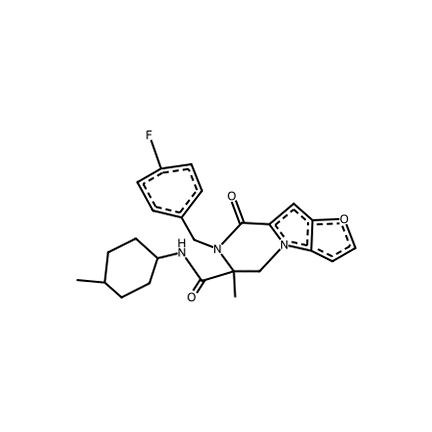 CC1CCC(NC(=O)C2(C)Cn3c(cc4occc43)C(=O)N2Cc2ccc(F)cc2)CC1